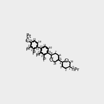 CCCC1CCC(C2CCC(c3ccc(-c4ccc(OCC)c(F)c4F)c(F)c3F)OC2)OC1